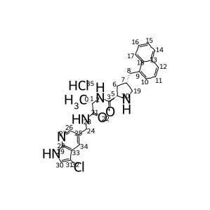 C[C@H](NC(=O)[C@H]1C[C@H](Cc2cccc3ccccc23)CN1)C(=O)NCc1cnc2[nH]cc(Cl)c2c1.Cl